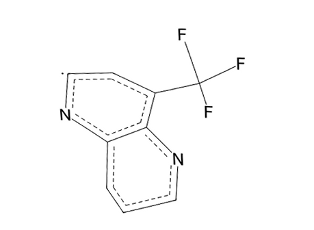 FC(F)(F)c1c[c]nc2cccnc12